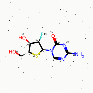 Nc1ncn([C@H]2S[C@H](CO)[C@@H](O)[C@H]2F)c(=O)n1